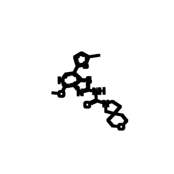 COc1ncc(-c2ccc(C)s2)c2sc(NC(=O)N3CCC4(CCOCC4)C3)nc12